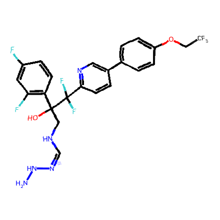 NN/N=C\NCC(O)(c1ccc(F)cc1F)C(F)(F)c1ccc(-c2ccc(OCC(F)(F)F)cc2)cn1